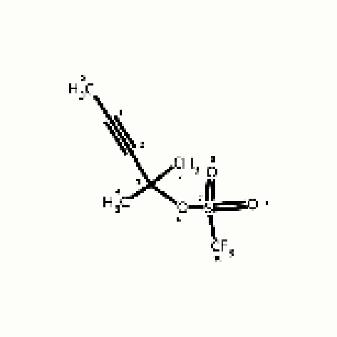 CC#CC(C)(C)OS(=O)(=O)C(F)(F)F